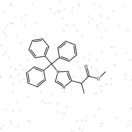 COC(=O)C(C)c1cn(C(c2ccccc2)(c2ccccc2)c2ccccc2)cn1